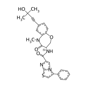 CN1C(=O)[C@@H](NC(=O)c2cn3c(-c4ccccc4)csc3n2)COc2ccc(C#CC(C)(C)O)cc21